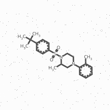 Cc1ccccc1N1CCN(S(=O)(=O)c2ccc(C(C)(C)C)cc2)C(C)C1